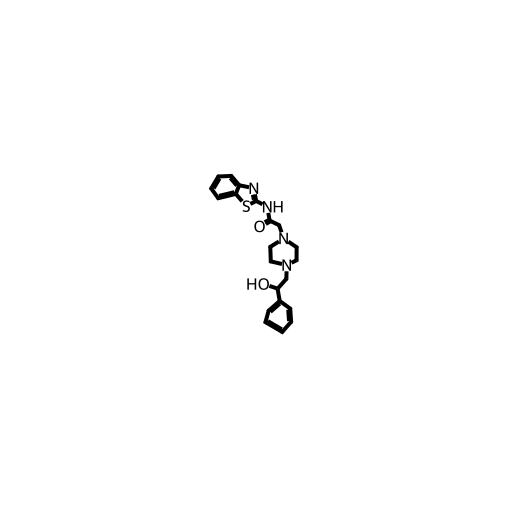 O=C(CN1CCN(CC(O)c2ccccc2)CC1)Nc1nc2ccccc2s1